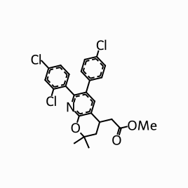 COC(=O)CC1CC(C)(C)Oc2nc(-c3ccc(Cl)cc3Cl)c(-c3ccc(Cl)cc3)cc21